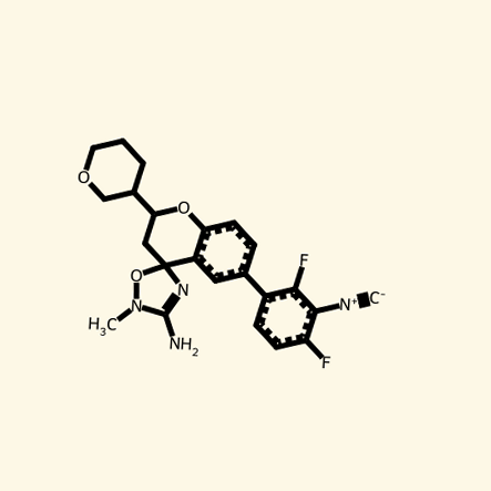 [C-]#[N+]c1c(F)ccc(-c2ccc3c(c2)C2(CC(C4CCCOC4)O3)N=C(N)N(C)O2)c1F